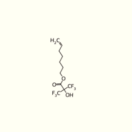 C=CCCCCCOC(=O)C(O)(C(F)(F)F)C(F)(F)F